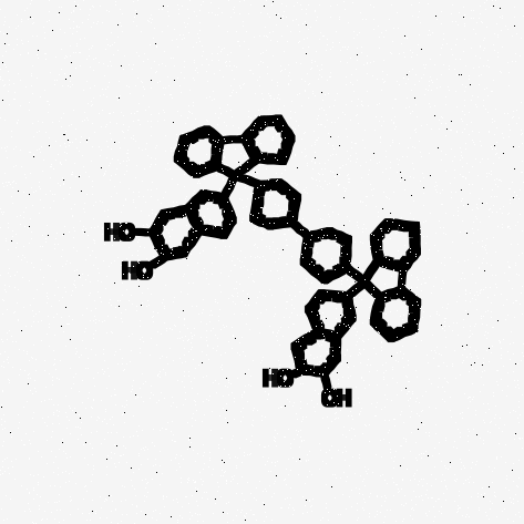 Oc1cc2ccc(C3(c4ccc(-c5ccc(C6(c7ccc8cc(O)c(O)cc8c7)c7ccccc7-c7ccccc76)cc5)cc4)c4ccccc4-c4ccccc43)cc2cc1O